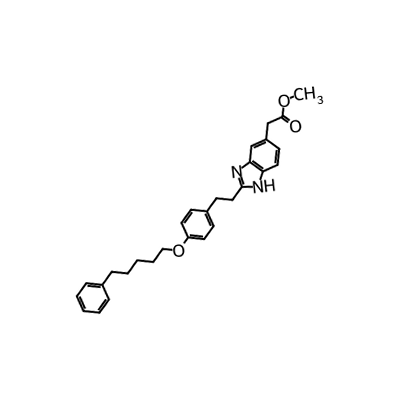 COC(=O)Cc1ccc2[nH]c(CCc3ccc(OCCCCCc4ccccc4)cc3)nc2c1